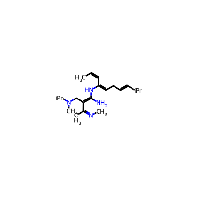 C/C=C\C(=C/C/C=C/C(C)C)N/C(N)=C(CN(C)C(C)C)/C(C)=N\C